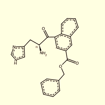 N[C@@H](Cc1c[nH]cn1)C(=O)c1[c]c(C(=O)OCc2ccccc2)cc2ccccc12